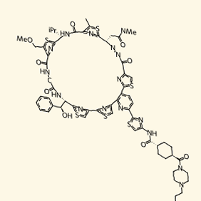 CNC(=O)C[C@@H]1N=NC(=O)c2csc(n2)-c2ccc(-c3nc(NC(=O)[C@H]4CC[C@H](C(=O)N5CCN(CCN6CCCC6)CC5)CC4)cs3)nc2-c2csc(n2)-c2csc(n2)[C@H]([C@@H](O)c2ccccc2)NC(=O)CNC(=O)c2nc(sc2COC)[C@H](C(C)C)NC(=O)c2nc1sc2C